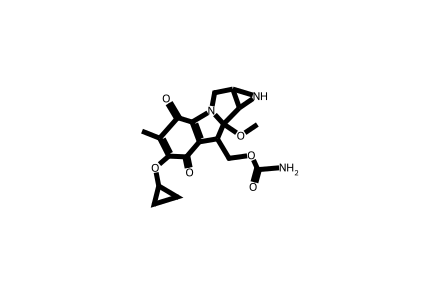 COC12C(COC(N)=O)C3=C(C(=O)C(C)=C(OC4CC4)C3=O)N1CC1NC12